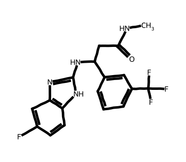 CNC(=O)CC(Nc1nc2cc(F)ccc2[nH]1)c1cccc(C(F)(F)F)c1